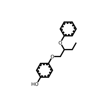 CCC(COc1ccc(O)cc1)Oc1ccccc1